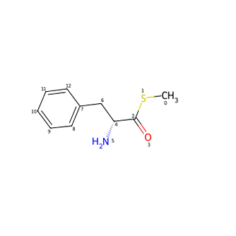 CSC(=O)[C@H](N)Cc1ccccc1